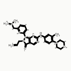 C=CCn1c(=O)c2cnc(Nc3ccc(N4CCOCC4)c(C)c3)nc2n1-c1cccc(CN(C)C)n1